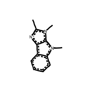 Cc1nc2c3ccccc3n(C)c2n1C